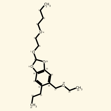 CCCCOCCOC1Oc2cc(CCC)c(COCC)cc2O1